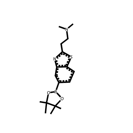 CN(C)CCc1nc2cc(B3OC(C)(C)C(C)(C)O3)ccc2s1